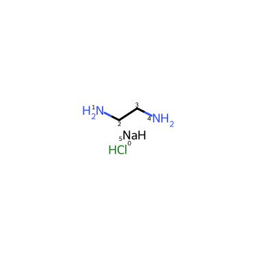 Cl.NCCN.[NaH]